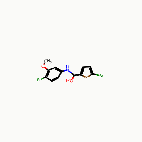 COc1cc(NC(O)c2ccc(Br)s2)ccc1Br